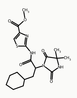 COC(=O)c1csc(NC(=O)C(CC2CCCCC2)N2C(=O)NC(C)(C)C2=O)n1